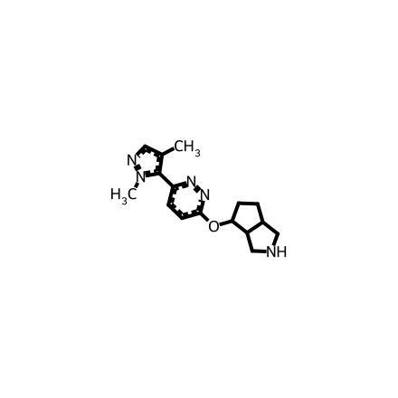 Cc1cnn(C)c1-c1ccc(OC2CCC3CNCC32)nn1